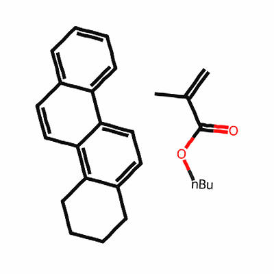 C=C(C)C(=O)OCCCC.c1ccc2c(c1)ccc1c3c(ccc12)CCCC3